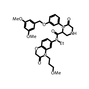 CCN(C(=O)C1CNCC(=O)N1c1cccc(OCc2cc(OC)cc(OC)c2)c1)c1ccc2c(c1)N(CCCOC)C(=O)CO2